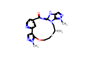 C[C@@H]1CCCOc2c(cnn2C)-c2cc(ccn2)C(=O)/N=C2\Nc3cnn(C)c3N2C1